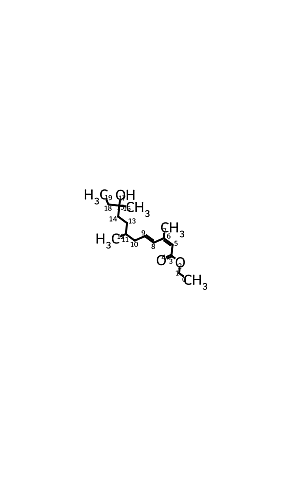 CCOC(=O)C=C(C)C=CCC(C)CCC(C)(O)CC